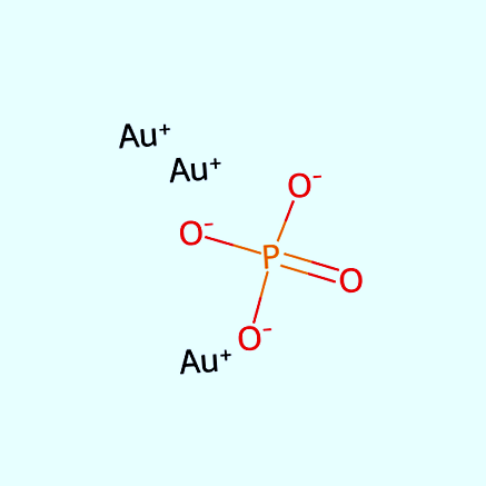 O=P([O-])([O-])[O-].[Au+].[Au+].[Au+]